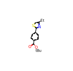 CCc1csc(-c2ccc(C(=O)OC(C)(C)C)cc2)n1